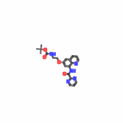 CC(C)(C)OC(=O)NCCOc1cc(NC(=O)c2ncccn2)c2ncccc2c1